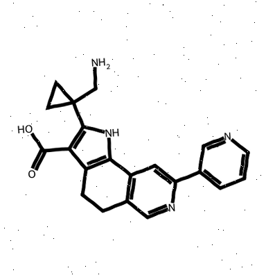 NCC1(c2[nH]c3c(c2C(=O)O)CCc2cnc(-c4cccnc4)cc2-3)CC1